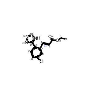 CCOC(=O)/C=C/c1cc(Cl)ccc1-c1nnn[nH]1